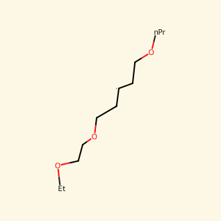 CCCOCC[CH]CCOCCOCC